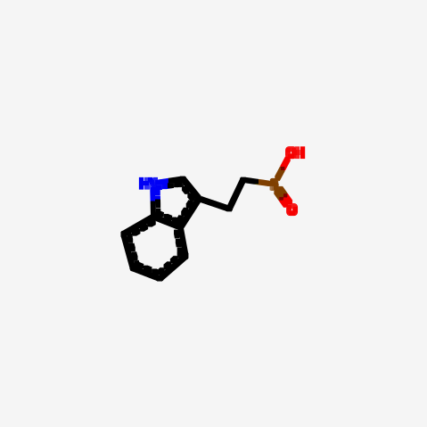 O=S(O)CCc1c[nH]c2ccccc12